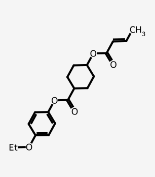 C/C=C/C(=O)OC1CCC(C(=O)Oc2ccc(OCC)cc2)CC1